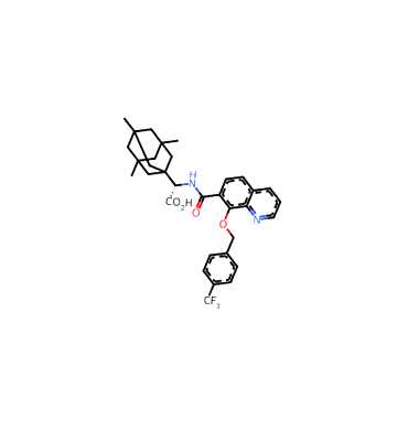 CC12CC3(C)CC(C)(C1)CC([C@H](NC(=O)c1ccc4cccnc4c1OCc1ccc(C(F)(F)F)cc1)C(=O)O)(C2)C3